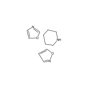 C1CCNCC1.c1cnoc1.c1cocn1